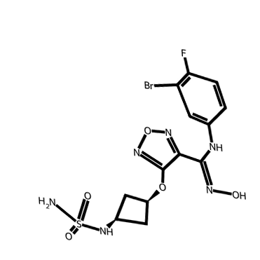 NS(=O)(=O)N[C@H]1C[C@@H](Oc2nonc2/C(=N/O)Nc2ccc(F)c(Br)c2)C1